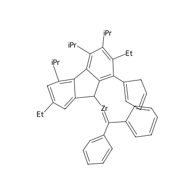 CCc1cc(C(C)C)c2c(c1)[CH]([Zr]=[C](c1ccccc1)c1ccccc1)c1c(C3=CC=CC3)c(CC)c(C(C)C)c(C(C)C)c1-2